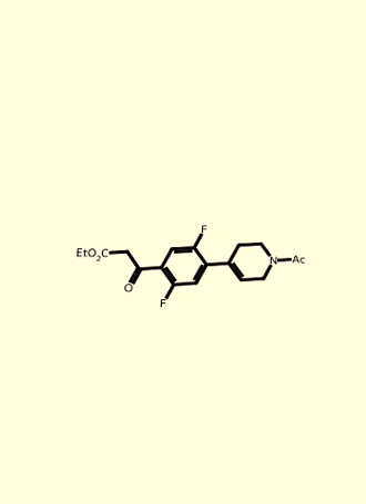 CCOC(=O)CC(=O)c1cc(F)c(C2=CCN(C(C)=O)CC2)cc1F